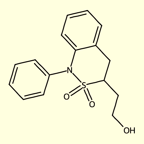 O=S1(=O)C(CCO)Cc2ccccc2N1c1ccccc1